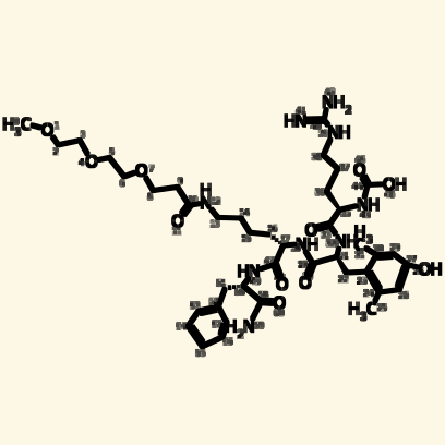 COCCOCCOCCC(=O)NCCCC[C@H](NC(=O)[C@H](Cc1c(C)cc(O)cc1C)NC(=O)[C@@H](CCCNC(=N)N)NC(=O)O)C(=O)N[C@@H](Cc1ccccc1)C(N)=O